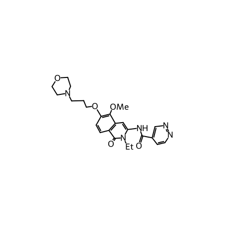 CCn1c(NC(=O)c2ccnnc2)cc2c(OC)c(OCCCN3CCOCC3)ccc2c1=O